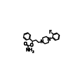 NC(=O)OC(CCN1CCN(c2ccccc2F)CC1)c1ccccc1